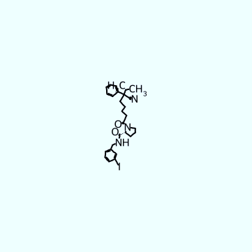 CC(C)C(C#N)(CCCCC(=O)N1CCC[C@@H]1C(=O)NCc1cccc(I)c1)c1ccccc1